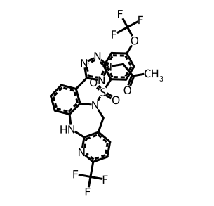 CC(=O)Cn1nnc(-c2cccc3c2N(S(=O)(=O)c2ccc(OC(F)(F)F)cc2)Cc2ccc(C(F)(F)F)nc2N3)n1